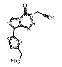 C#CCn1nnc2c(-c3nc(CO)cs3)ncn2c1=O